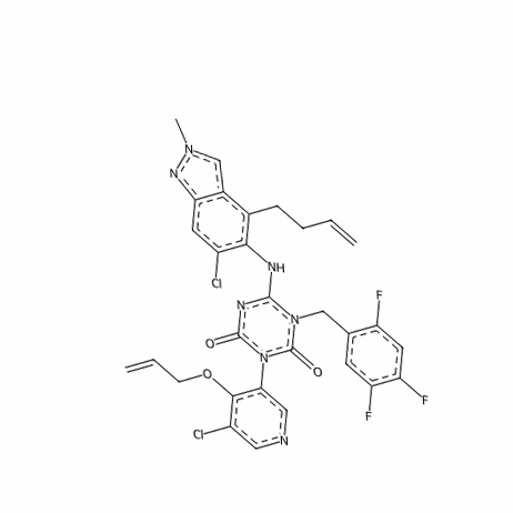 C=CCCc1c(Nc2nc(=O)n(-c3cncc(Cl)c3OCC=C)c(=O)n2Cc2cc(F)c(F)cc2F)c(Cl)cc2nn(C)cc12